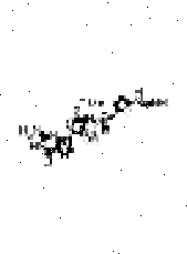 COC[C@H]1O[C@@H](n2cnc3c(=O)[nH]c(N)nc32)[C@H](O)[C@@H]1NP(=O)(S)OC[C@@H]1CC[C@H](NC=N)O1